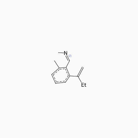 C=C(CC)c1cccc(C)c1/C=N\C